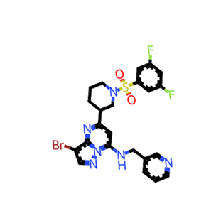 O=S(=O)(c1cc(F)cc(F)c1)N1CCCC(c2cc(NCc3cccnc3)n3ncc(Br)c3n2)C1